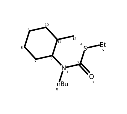 CCCCN(C(=O)SCC)C1CCCCC1C